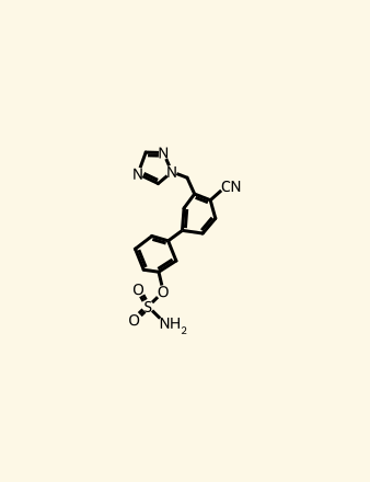 N#Cc1ccc(-c2cccc(OS(N)(=O)=O)c2)cc1Cn1cncn1